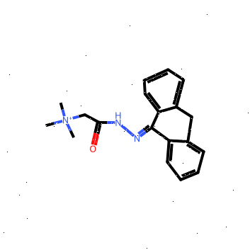 C[N+](C)(C)CC(=O)NN=C1c2ccccc2Cc2ccccc21